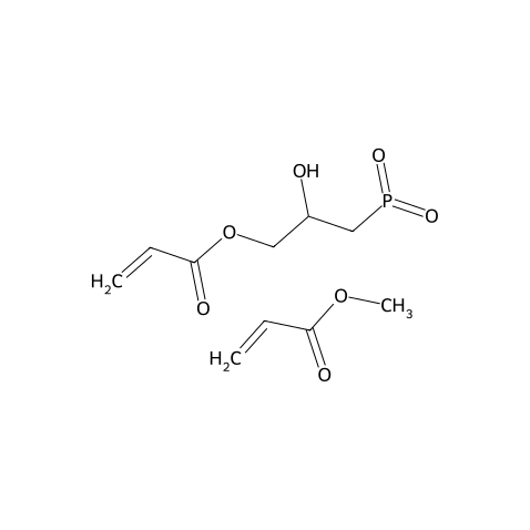 C=CC(=O)OC.C=CC(=O)OCC(O)CP(=O)=O